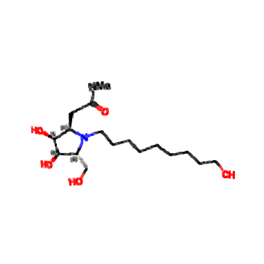 CNC(=O)C[C@@H]1[C@H](O)[C@H](O)[C@@H](CO)N1CCCCCCCCCO